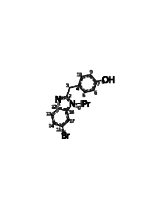 CC(C)n1c(Cc2ccc(O)cc2)nc2ccc(Br)cc21